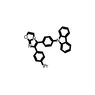 CC(C)c1ccc(-c2nc3occn3c2-c2ccc(-n3c4ccccc4c4ccccc43)cc2)cc1